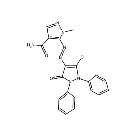 Cn1ncc(C(N)=O)c1N=Nc1c(O)n(-c2ccccc2)n(-c2ccccc2)c1=O